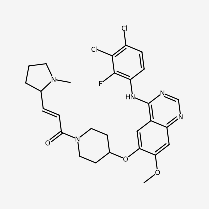 COc1cc2ncnc(Nc3ccc(Cl)c(Cl)c3F)c2cc1OC1CCN(C(=O)/C=C/C2CCCN2C)CC1